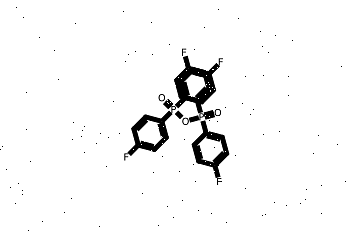 O=P(OP(=O)(c1ccc(F)cc1)c1ccc(F)cc1)(c1ccc(F)cc1)c1ccc(F)cc1